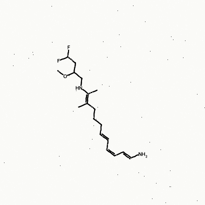 COC(CN/C(C)=C(\C)CCCC=C/C=C\C=CN)CC(F)F